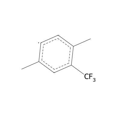 Cc1[c]cc(C)c(C(F)(F)F)c1